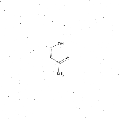 NC(=O)/C=C\O